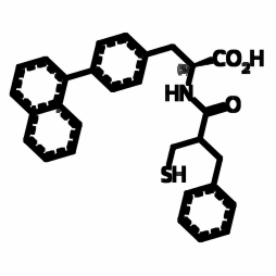 O=C(N[C@@H](Cc1ccc(-c2cccc3ccccc23)cc1)C(=O)O)C(CS)Cc1ccccc1